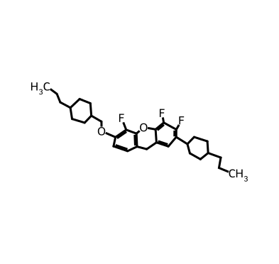 CCCC1CCC(COc2ccc3c(c2F)Oc2c(cc(C4CCC(CCC)CC4)c(F)c2F)C3)CC1